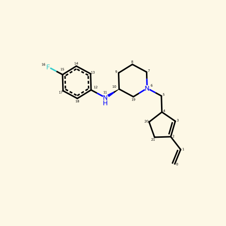 C=CC1=CC(CN2CCC[C@H](Nc3ccc(F)cc3)C2)CC1